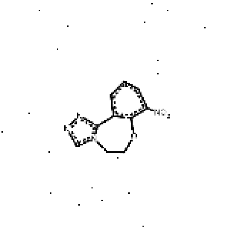 O=[N+]([O-])c1cccc2c1OCCn1cnnc1-2